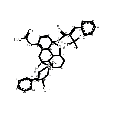 CC(=O)OC1=C2C[C@@H]3[C@@H]4CCC[C@@H]5OC(NC(=O)C(=Cc6ccccc6)C(F)(F)F)(C=C1)C2[C@@]54CC[N+]3(CCc1ccccc1)CC(C)C